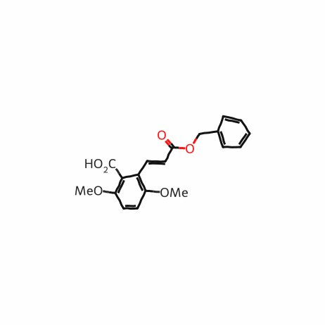 COc1ccc(OC)c(C(=O)O)c1/C=C/C(=O)OCc1ccccc1